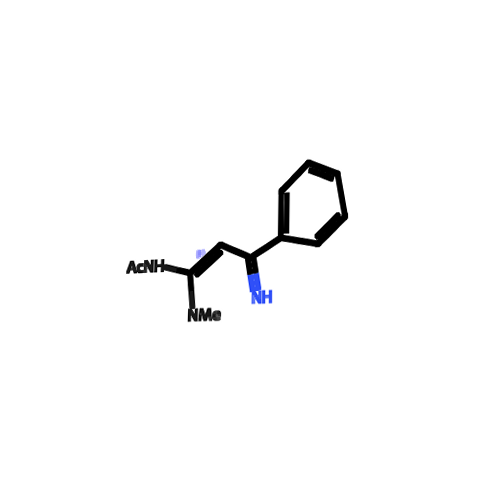 CN/C(=C\C(=N)c1ccccc1)NC(C)=O